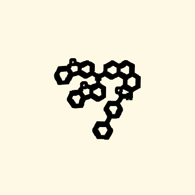 c1ccc(-c2ccc(-c3nc4ccc5ccc6ccc(N(c7ccc8oc9ccccc9c8c7)c7cccc8c7oc7ccccc78)cc6c5c4o3)cc2)cc1